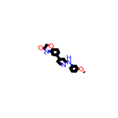 COc1cccc(Nc2cc(-c3ccc4c(c3)N(C)C(=O)CO4)ccn2)c1